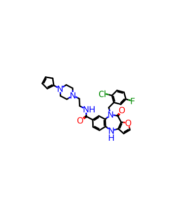 O=C(NCCN1CCN(C2=CC=CC2)CC1)c1ccc2c(c1)N(Cc1cc(F)ccc1Cl)C(=O)c1occc1N2